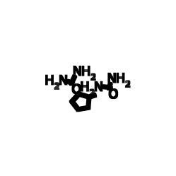 CC1CCCC1.NC(N)=O.NC(N)=O